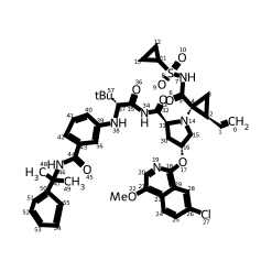 C=C[C@@H]1C[C@@]1(C(=O)NS(=O)(=O)C1CC1)N1C[C@H](Oc2ncc(OC)c3ccc(Cl)cc23)C[C@H]1C(=O)NC(=O)[C@H](Nc1cccc(C(=O)NC(C)(C)c2ccccc2)c1)C(C)(C)C